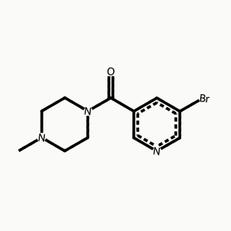 CN1CCN(C(=O)c2cncc(Br)c2)CC1